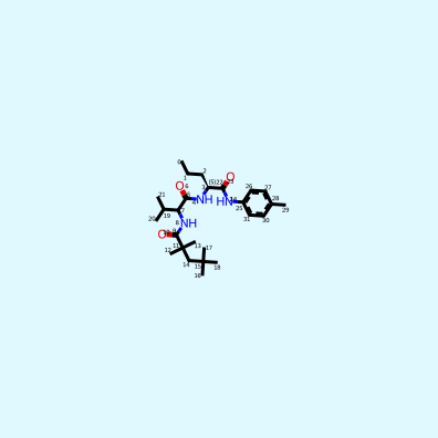 CCC[C@H](NC(=O)C(NC(=O)C(C)(C)CC(C)(C)C)C(C)C)C(=O)Nc1ccc(C)cc1